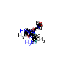 Cc1c(F)c(N)cc(-c2nc3c4c(nc(OCCCN5C[C@@H]6C[C@H]5CO6)nc4c2F)N2CCNC[C@H]2[C@H](C)O3)c1C(F)(F)F